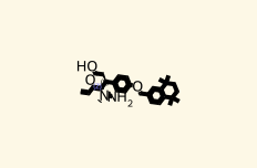 C=C/C=C(/[C@@H](CC(=O)O)c1ccc(OCc2ccc3c(c2)C(C)(C)CCC3(C)C)cc1)N(C)N